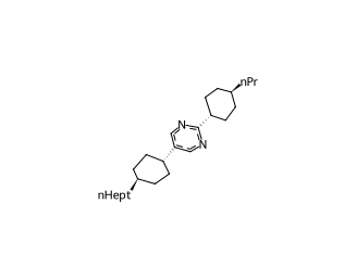 CCCCCCC[C@H]1CC[C@H](c2cnc([C@H]3CC[C@H](CCC)CC3)nc2)CC1